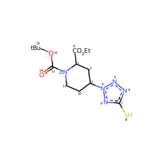 CCOC(=O)C1CC(n2nnc(S)n2)CCN1C(=O)OC(C)(C)C